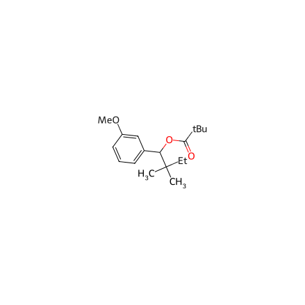 CCC(C)(C)C(OC(=O)C(C)(C)C)c1cccc(OC)c1